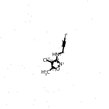 Cc1onc(NCC#CI)c1Cl